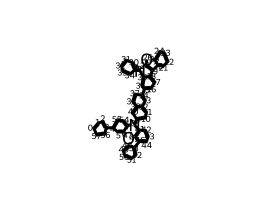 c1ccc(-c2ccc(N(c3ccc4cc(-c5ccc6c7c8ccccc8oc7n(-c7ccccc7)c6c5)ccc4c3)c3cccc4c3oc3ccccc34)cc2)cc1